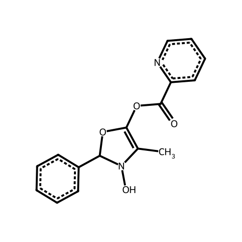 CC1=C(OC(=O)c2ccccn2)OC(c2ccccc2)N1O